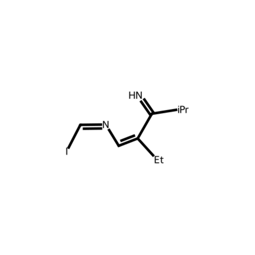 CC/C(=C/N=C\I)C(=N)C(C)C